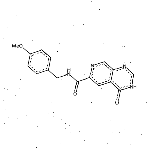 COc1ccc(CNC(=O)c2cc3c(=O)[nH]cnc3cn2)cc1